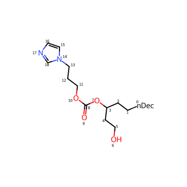 CCCCCCCCCCCCC(CCO)OC(=O)OCCCn1ccnc1